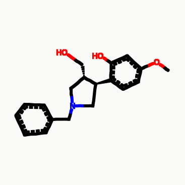 COc1ccc([C@H]2CN(Cc3ccccc3)C[C@@H]2CO)c(O)c1